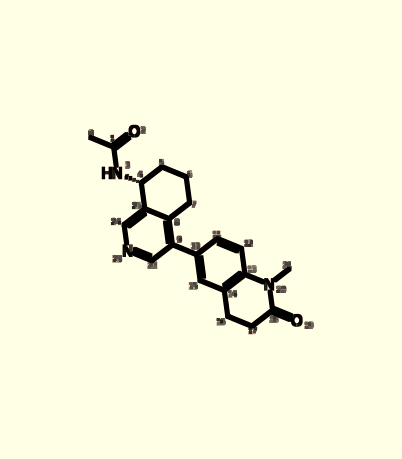 CC(=O)N[C@@H]1CCCc2c(-c3ccc4c(c3)CCC(=O)N4C)cncc21